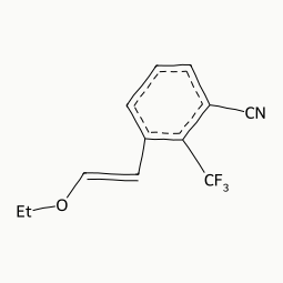 CCOC=Cc1cccc(C#N)c1C(F)(F)F